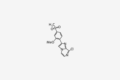 COc1cc(S(C)(=O)=O)ccc1-c1cn2ccnc(Cl)c2n1